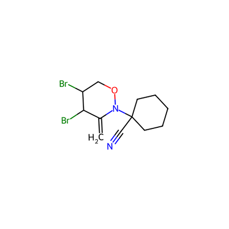 C=C1C(Br)C(Br)CON1C1(C#N)CCCCC1